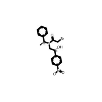 C[C@@H](c1ccccc1)N(C[C@H](O)c1ccc([N+](=O)[O-])cc1)C(=O)CBr